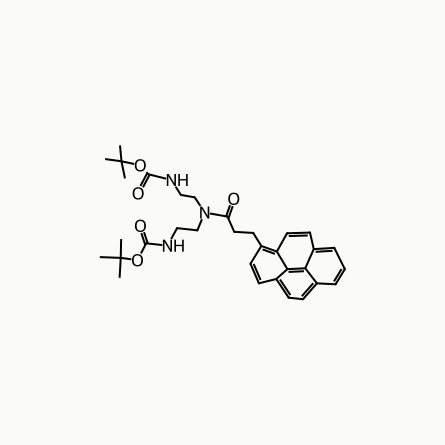 CC(C)(C)OC(=O)NCCN(CCNC(=O)OC(C)(C)C)C(=O)CCc1ccc2ccc3cccc4ccc1c2c34